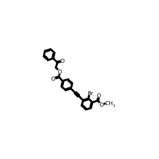 COC(=O)c1cccc(C#Cc2ccc(C(=O)OCC(=O)c3ccccc3)cc2)c1Br